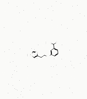 CCC(O)c1cccc(OCCc2c[nH]cn2)c1